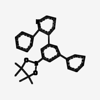 CC1(C)OB(c2cc(-c3ccccc3)cc(-c3cccnc3-c3ccccc3)c2)OC1(C)C